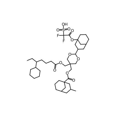 CCC(CCCC(=O)OCC1(COC(=O)C23CCCC(CC(C)C2)C3)COC(C2CC3CCCC(OC(=O)C(F)(F)S(=O)(=O)O)(C3)C2)OC1)C1CCCCC1